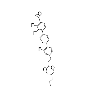 CCCC1COC(CCc2ccc(-c3ccc(-c4ccc(C5CO5)c(F)c4F)cc3)c(F)c2)OC1